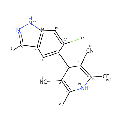 CC1=C(C#N)C(c2cc3c(C)n[nH]c3cc2F)C(C#N)=C(C(F)(F)F)N1